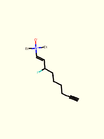 C#CCCCCC(F)C=C[N+]([O-])(CC)CC